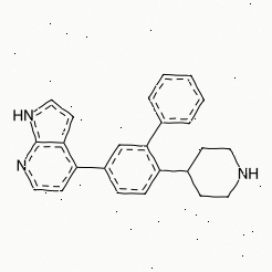 c1ccc(-c2cc(-c3ccnc4[nH]ccc34)ccc2C2CCNCC2)cc1